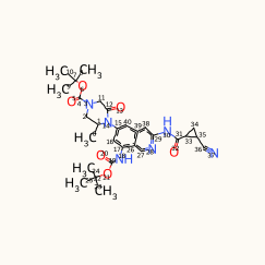 CC1CN(C(=O)OC(C)(C)C)CC(=O)N1c1cc(NC(=O)OC(C)(C)C)c2cnc(NC(=O)C3CC3C#N)cc2c1